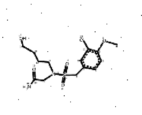 COc1ccc(CS(=O)(=O)N(CCCCO)CC(N)=O)cc1Cl